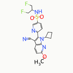 COc1ccc2c(C#N)c(-c3ccc(S(=O)(=O)NC(CF)CF)cn3)n(C3CCC3)c2n1